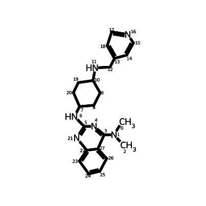 CN(C)c1nc(NC2CCC(NCc3ccncc3)CC2)nc2ccccc12